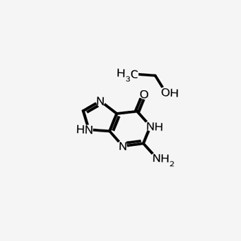 CCO.Nc1nc2[nH]cnc2c(=O)[nH]1